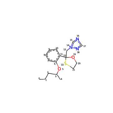 CCCC(C)Oc1ccccc1C1(Cn2cncn2)OCCS1